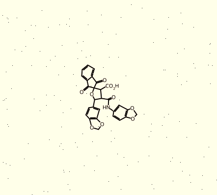 O=C(Nc1ccc2c(c1)OCO2)C1C(c2ccc3c(c2)OCO3)OC2(C(=O)c3ccccc3C2=O)C1C(=O)O